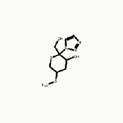 COC1COC(CO)(n2ccnn2)C(O)C1